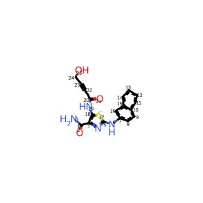 NC(=O)c1nc(Nc2ccc3ccccc3c2)sc1NC(=O)C#CCO